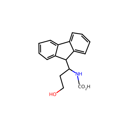 O=C(O)NC(CCO)C1c2ccccc2-c2ccccc21